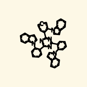 c1ccc(-n2ccc3ccccc32)c(-c2nc(-c3ccccc3-n3ccc4ccccc43)nc(-c3ccccc3-n3ccc4ccccc43)n2)c1